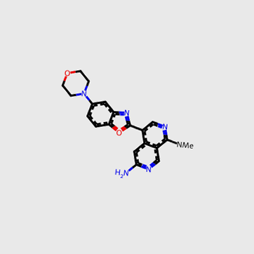 CNc1ncc(-c2nc3cc(N4CCOCC4)ccc3o2)c2cc(N)ncc12